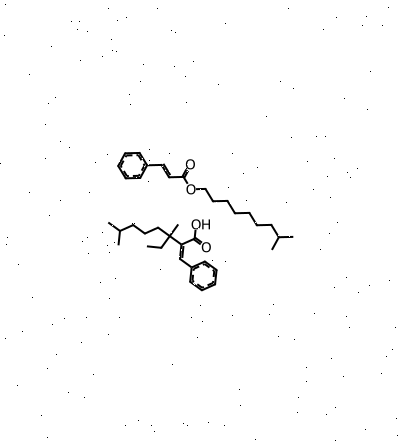 CC(C)CCCCCCCOC(=O)C=Cc1ccccc1.CCC(C)(CCCC(C)C)C(=Cc1ccccc1)C(=O)O